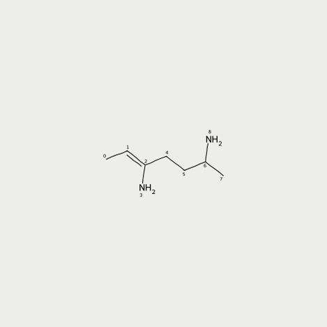 CC=C(N)CCC(C)N